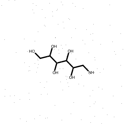 [NH]CC(O)C(O)C(O)C(O)CO